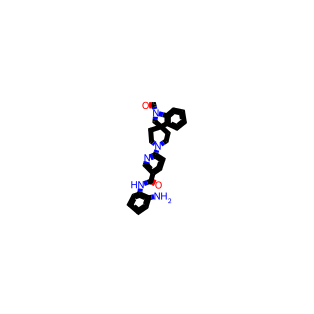 Nc1ccccc1NC(=O)c1ccc(N2CCC3(CC2)CN(C=O)c2ccccc23)nc1